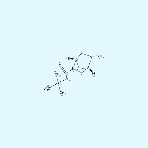 C[C@H]1C[C@@H]2C[C@H]1CN2C(=O)OC(C)(C)C